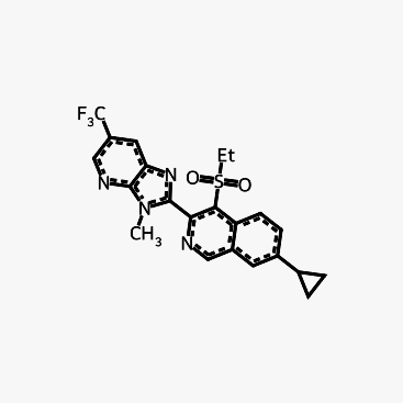 CCS(=O)(=O)c1c(-c2nc3cc(C(F)(F)F)cnc3n2C)ncc2cc(C3CC3)ccc12